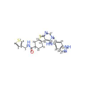 O=C(NCc1ccsc1)C1CCc2c(sc3ncnc(Nc4ccc5[nH]ncc5c4)c23)C1